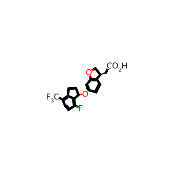 O=C(O)C[C@@H]1COc2cc(O[C@@H]3CCc4c(C(F)(F)F)ccc(F)c43)ccc21